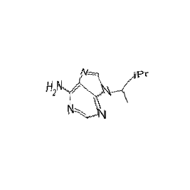 CC(C)C(C)n1cnc2c(N)ncnc21